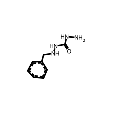 NNC(=O)NNCc1ccccc1